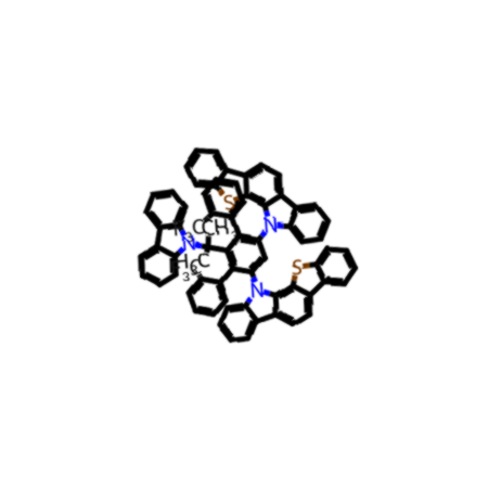 CC(C)(c1c(-c2ccccc2C(F)(F)F)c(-n2c3ccccc3c3ccc4c5ccccc5sc4c32)cc(-n2c3ccccc3c3ccc4c5ccccc5sc4c32)c1-c1ccccc1C(F)(F)F)n1c2ccccc2c2ccccc21